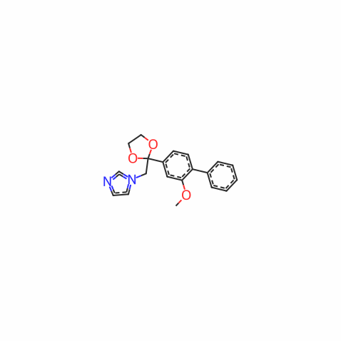 COc1cc(C2(Cn3ccnc3)OCCO2)ccc1-c1ccccc1